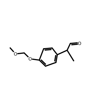 COCOc1ccc(C(C)C=O)cc1